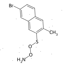 Cc1cc2ccc(Br)cc2cc1SOON